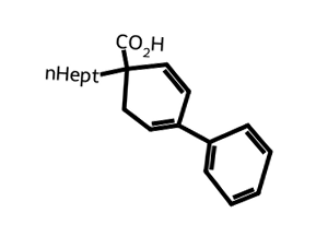 CCCCCCCC1(C(=O)O)C=CC(c2ccccc2)=CC1